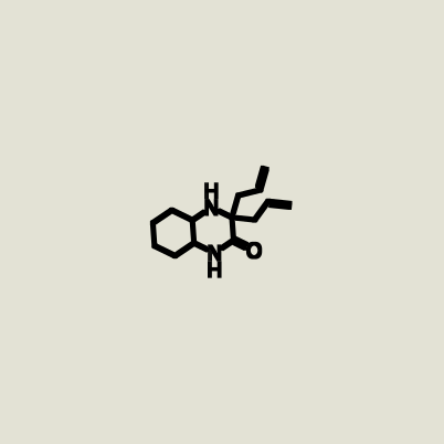 C=CCC1(CC=C)NC2CCCCC2NC1=O